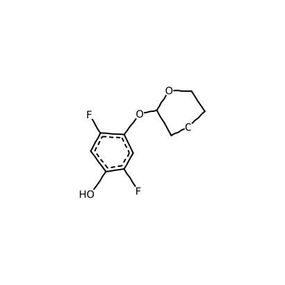 Oc1cc(F)c(OC2CCCCO2)cc1F